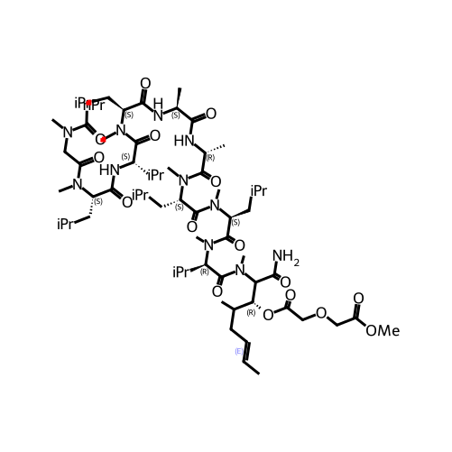 C/C=C/CC(C)[C@@H](OC(=O)COCC(=O)OC)C(C(N)=O)N(C)C(=O)[C@@H](C(C)C)N(C)C(=O)[C@H](CC(C)C)N(C)C(=O)[C@H](CC(C)C)N(C)C(=O)[C@@H](C)NC(=O)[C@H](C)NC(=O)[C@H](CC(C)C)N(C)C(=O)[C@@H](NC(=O)[C@H](CC(C)C)N(C)C(=O)CN(C)C(=O)CCC)C(C)C